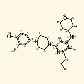 CCCc1nc(N2CCN(c3ccc(Cl)c(F)c3)CC2)nc(NC2CCOCC2)c1C